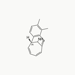 Cc1ccc2c(c1C)C=C1C=CC=C[C@H]2C1N